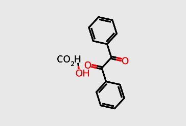 O=C(C(=O)c1ccccc1)c1ccccc1.O=C(O)O